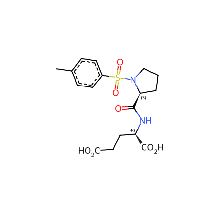 Cc1ccc(S(=O)(=O)N2CCC[C@H]2C(=O)N[C@H](CCC(=O)O)C(=O)O)cc1